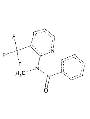 CN(C(=O)c1ccccc1)c1ncccc1C(F)(F)F